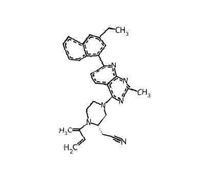 C=CC(=C)N1CCN(c2nc(C)nc3nc(-c4cc(CC)cc5ccccc45)ccc23)C[C@@H]1CC#N